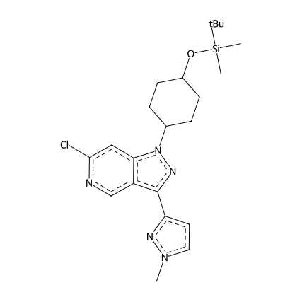 Cn1ccc(-c2nn(C3CCC(O[Si](C)(C)C(C)(C)C)CC3)c3cc(Cl)ncc23)n1